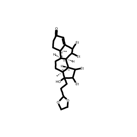 CCC1C2=CC(=O)CC[C@]2(C)[C@@H]2CC[C@@]3(C)[C@@H](C(CC)C(CC)C3(O)CCC3OCCO3)[C@@H]2C1CC